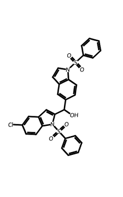 O=S(=O)(c1ccccc1)n1ccc2cc(C(O)c3cc4cc(Cl)ccc4n3S(=O)(=O)c3ccccc3)ccc21